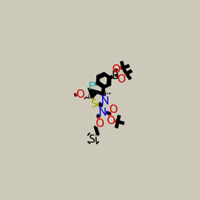 COC[C@]12CC1[C@@](C)(c1cc(B3OC(C)(C)C(C)(C)O3)ccc1F)N=C(N(COCC[Si](C)(C)C)C(=O)OC(C)(C)C)S2